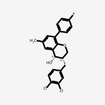 Cc1cc(-c2ccc(F)cc2)c2c(c1)[C@@H](O)[C@@H](Cc1ccc(Cl)c(Cl)c1)CO2